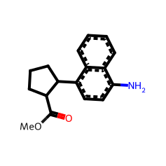 COC(=O)C1CCCC1c1ccc(N)c2ccccc12